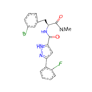 CNC(=O)[C@H](Cc1cccc(Br)c1)NC(=O)c1cc(-c2ccccc2F)n[nH]1